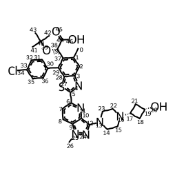 Cc1cc2nc(-c3ccc4c(n3)c(N3CCN([C@H]5C[C@@H](O)C5)CC3)nn4C)sc2c(-c2ccc(Cl)cc2)c1[C@H](OC(C)(C)C)C(=O)O